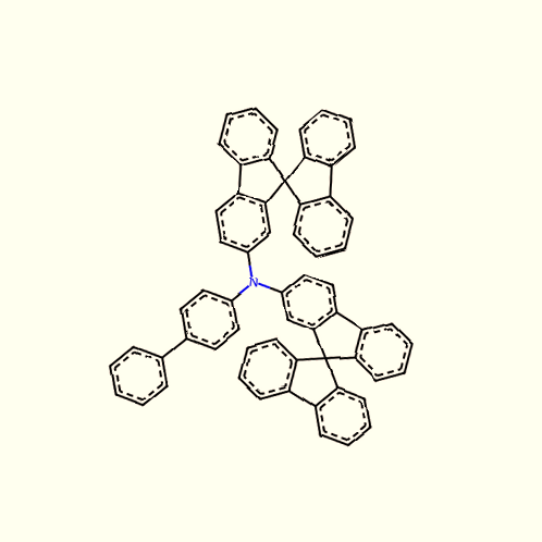 c1ccc(-c2ccc(N(c3ccc4c(c3)C3(c5ccccc5-c5ccccc53)c3ccccc3-4)c3ccc4c(c3)C3(c5ccccc5-c5ccccc53)c3ccccc3-4)cc2)cc1